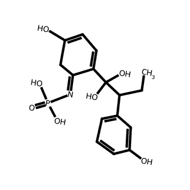 CCC(c1cccc(O)c1)C(O)(O)C1=CC=C(O)CC1=NP(=O)(O)O